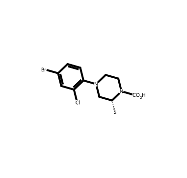 C[C@@H]1CN(c2ccc(Br)cc2Cl)CCN1C(=O)O